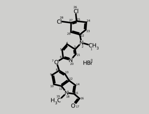 Br.CN(c1ccc(Oc2ccc3c(c2)cc(C=O)n3C)nc1)c1ccc(Cl)c(Cl)c1